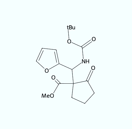 COC(=O)C1(C(NC(=O)OC(C)(C)C)c2ccco2)CCCC1=O